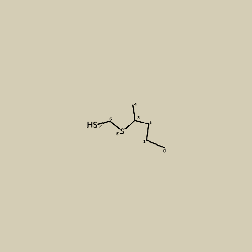 CCCC(C)SCS